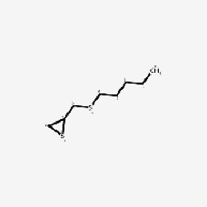 CCCCCSCC1CS1